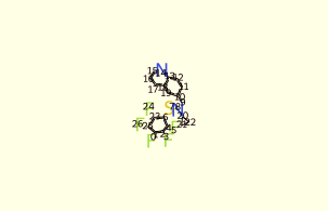 Fc1c(F)c(F)c(SN(Cc2ccc3ncccc3c2)C2CC2)c(F)c1F